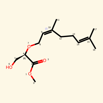 COC(=O)[C@@H](CO)OC/C=C(/C)CCC=C(C)C